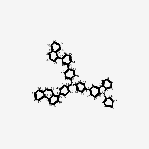 c1ccc(-n2c3ccccc3c3cc(-c4ccc(N(c5ccc(-c6cccc(-c7cccc8ccccc78)c6)cc5)c5ccc(-c6cccc7c6ccc6ccccc67)cc5)cc4)ccc32)cc1